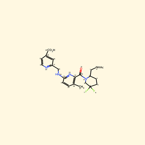 CC(=O)NCC1CCC(F)(F)CN1C(=O)c1nc(NCc2cc(C(=O)O)ccn2)ccc1C